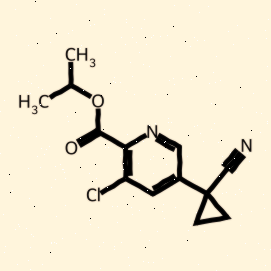 CC(C)OC(=O)c1ncc(C2(C#N)CC2)cc1Cl